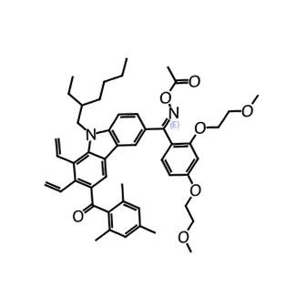 C=Cc1c(C(=O)c2c(C)cc(C)cc2C)cc2c3cc(/C(=N\OC(C)=O)c4ccc(OCCOC)cc4OCCOC)ccc3n(CC(CC)CCCC)c2c1C=C